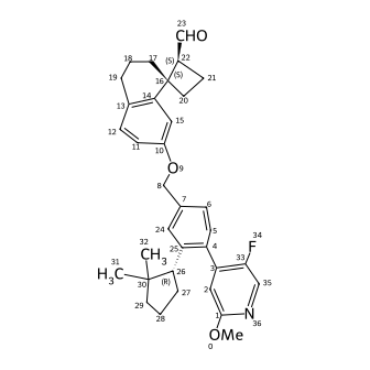 COc1cc(-c2ccc(COc3ccc4c(c3)[C@@]3(CCC4)CC[C@@H]3C=O)cc2[C@@H]2CCCC2(C)C)c(F)cn1